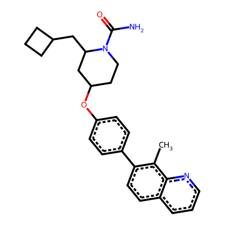 Cc1c(-c2ccc(OC3CCN(C(N)=O)C(CC4CCC4)C3)cc2)ccc2cccnc12